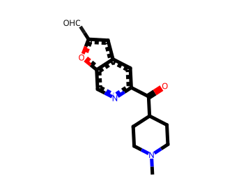 CN1CCC(C(=O)c2cc3cc(C=O)oc3cn2)CC1